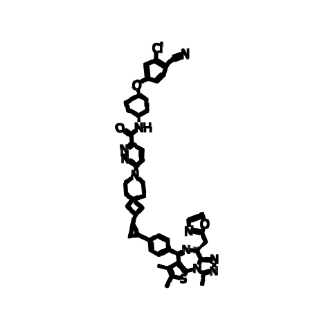 Cc1sc2c(c1C)C(c1ccc(C3CC3C3CC4(CCN(c5ccc(C(=O)N[C@H]6CC[C@H](Oc7ccc(C#N)c(Cl)c7)CC6)nn5)CC4)C3)cc1)=N[C@@H](Cc1ncco1)c1nnc(C)n1-2